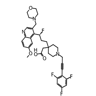 COc1ccc2ncc(CN3CCOCC3)c([C@@H](F)CCC3(CC(=O)O)CCN(CC#Cc4c(F)cc(F)cc4F)CC3)c2c1